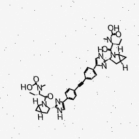 CC[C@@H](C(=O)N1[C@@H]2C[C@@H]2C[C@H]1c1nc(-c2ccc(C#Cc3ccc(-c4c[nH]c([C@@H]5C[C@H]6C[C@H]6N5C(=O)[C@H](CC)N(C)C(=O)O)n4)cc3)cc2)c[nH]1)N(C)C(=O)O